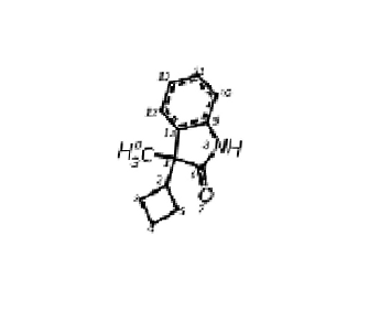 CC1(C2CCC2)C(=O)Nc2ccccc21